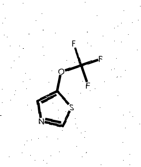 FC(F)(F)Oc1cncs1